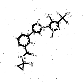 Cn1nc(C(F)(F)C(F)(F)F)c(C(F)(F)F)c1-n1cc(-c2cccc(C(=O)NC3(C#N)CC3)c2)cn1